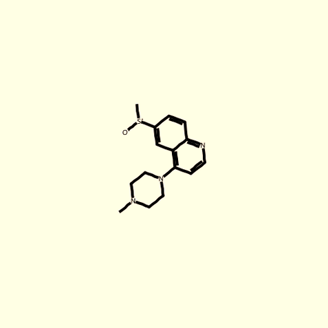 CN1CCN(c2ccnc3ccc([S+](C)[O-])cc23)CC1